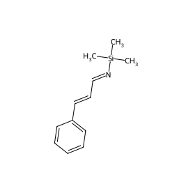 C[Si](C)(C)N=CC=Cc1ccccc1